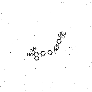 CC(c1ccc(-c2ccc(-c3cc(C(=O)N(C)C)c(O)c4ccccc34)nc2)cc1)N1CCN(c2ccc(C(=O)OC(C)(C)C)cc2)CC1